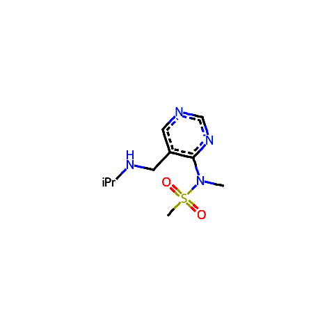 CC(C)NCc1cncnc1N(C)S(C)(=O)=O